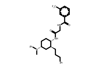 CC(C)CCC[C@H]1C[C@H](N(C)C(C)C)CC[C@@H]1NC(=O)CNC(=O)c1cccc(C(F)(F)F)c1